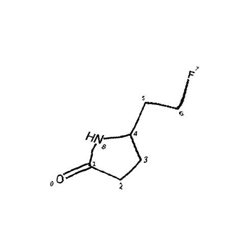 O=C1CCC(CCF)N1